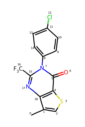 Cc1csc2c(=O)n(-c3ccc(Cl)cc3)c(C(F)(F)F)nc12